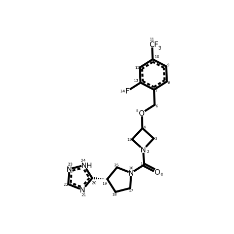 O=C(N1CC(OCc2ccc(C(F)(F)F)cc2F)C1)N1CC[C@H](c2ncn[nH]2)C1